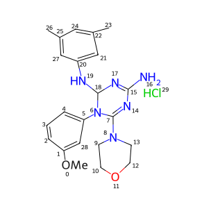 COc1cccc(N2C(N3CCOCC3)=NC(N)=NC2Nc2cc(C)cc(C)c2)c1.Cl